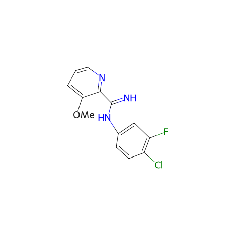 COc1cccnc1C(=N)Nc1ccc(Cl)c(F)c1